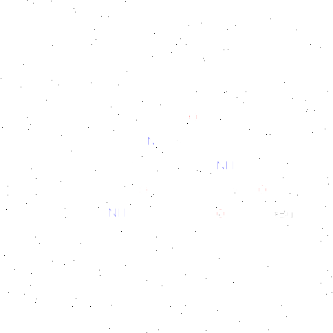 Cc1cc(C)c(/C=C2\C(=O)N(C(=O)CNC(=O)OC(C)(C)C)c3ccccc32)[nH]1